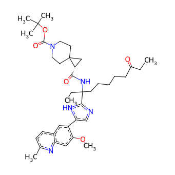 CCC(=O)CCCCCC(CC)(NC(=O)[C@H]1CC12CCN(C(=O)OC(C)(C)C)CC2)c1ncc(-c2cc3ccc(C)nc3cc2OC)[nH]1